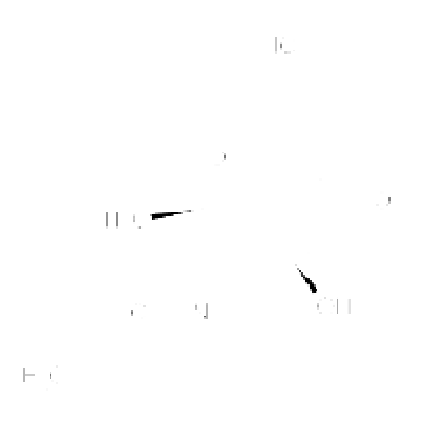 CCONC1[C@@H](C)OC(CO)[C@H](O)[C@H]1O